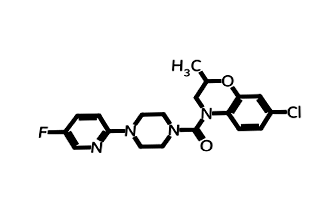 CC1CN(C(=O)N2CCN(c3ccc(F)cn3)CC2)c2ccc(Cl)cc2O1